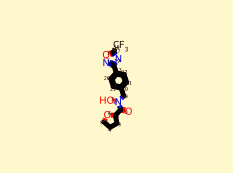 O=C(C1CCCO1)N(O)Cc1ccc(-c2noc(C(F)(F)F)n2)cc1